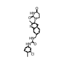 Cc1ccc(NC(=O)NCc2ccc3cc(N4CCC(=O)NC4=O)c(C)nc3c2)cc1Cl